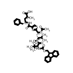 CC(=O)O[C@H](C[C@H](C(C)C)N(C)C(=O)[C@@H](NC(=O)OCC1c2ccccc2-c2ccccc21)C(C)(C)C)c1nc(C(=O)N[C@H](Cc2ccccc2)C[C@H](C)C(=O)O)cs1